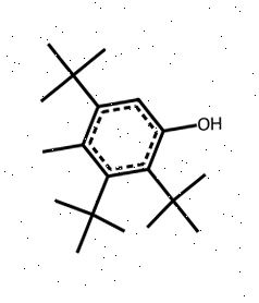 Cc1c(C(C)(C)C)cc(O)c(C(C)(C)C)c1C(C)(C)C